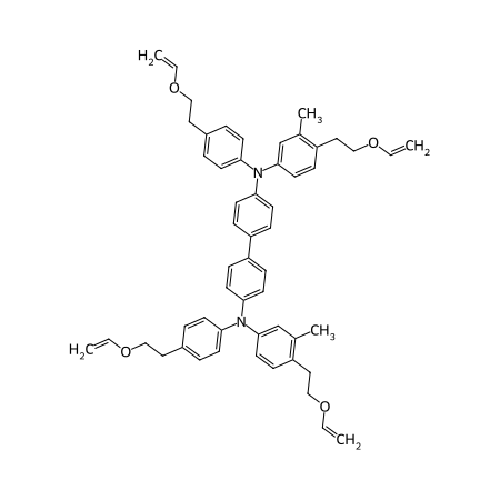 C=COCCc1ccc(N(c2ccc(-c3ccc(N(c4ccc(CCOC=C)cc4)c4ccc(CCOC=C)c(C)c4)cc3)cc2)c2ccc(CCOC=C)c(C)c2)cc1